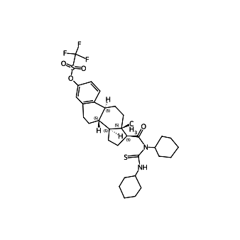 C[C@]12CC[C@@H]3c4ccc(OS(=O)(=O)C(F)(F)F)cc4CC[C@H]3[C@@H]1CC[C@@H]2C(=O)N(C(=S)NC1CCCCC1)C1CCCCC1